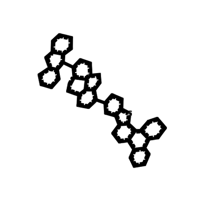 c1ccc2c(-c3ccc4ccc5c(-c6ccc7sc8c(ccc9c%10ccccc%10c%10ccccc%10c98)c7c6)ccc6ccc3c4c65)c3ccccc3cc2c1